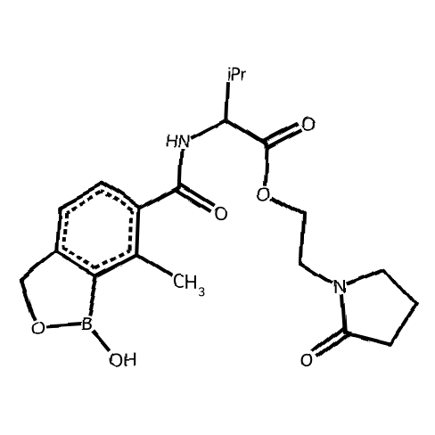 Cc1c(C(=O)NC(C(=O)OCCN2CCCC2=O)C(C)C)ccc2c1B(O)OC2